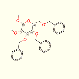 CO[C@@H]1O[C@H](COCc2ccccc2)[C@H](OCc2ccccc2)[C@H](OCc2ccccc2)[C@@H]1OC